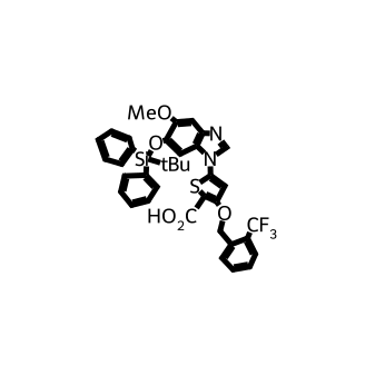 COc1cc2ncn(-c3cc(OCc4ccccc4C(F)(F)F)c(C(=O)O)s3)c2cc1O[Si](c1ccccc1)(c1ccccc1)C(C)(C)C